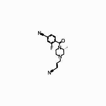 C[C@@H]1CN(CC=CC#N)CCN1C(=O)c1ccc(C#N)cc1F